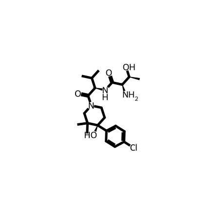 CC(C)[C@@H](NC(=O)[C@H](N)[C@H](C)O)C(=O)N1CC[C@](O)(c2ccc(Cl)cc2)C(C)(C)C1